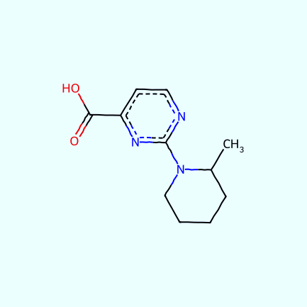 CC1CCCCN1c1nccc(C(=O)O)n1